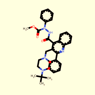 COC(=O)N(NC(=O)c1c(CN2CCN(C(C)(C)C)CC2)c(-c2ccccc2)nc2ccccc12)c1ccccc1